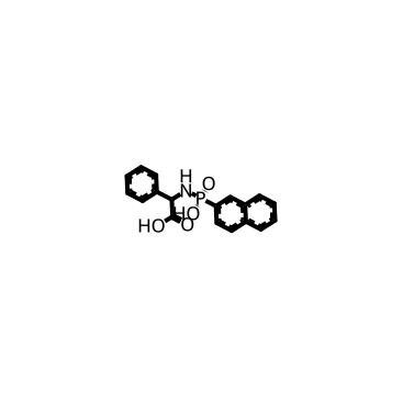 O=C(O)C(NP(=O)(O)c1ccc2ccccc2c1)c1ccccc1